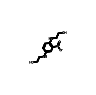 O=[N+]([O-])c1cc(NCCO)ccc1NCCO